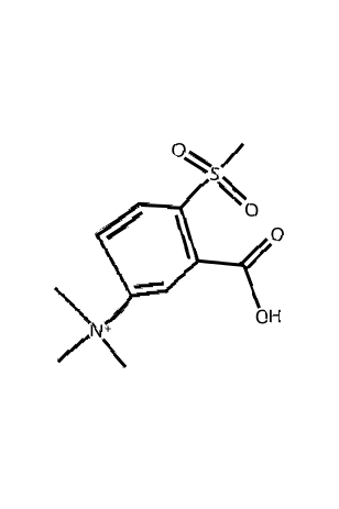 C[N+](C)(C)c1ccc(S(C)(=O)=O)c(C(=O)O)c1